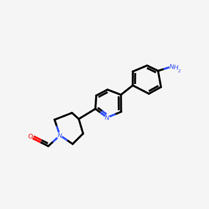 Nc1ccc(-c2ccc(C3CCN(C=O)CC3)nc2)cc1